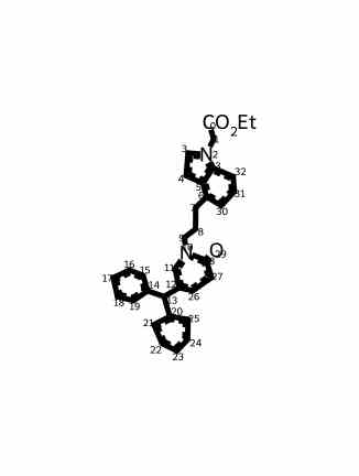 CCOC(=O)Cn1ccc2c(CCCn3cc(C(c4ccccc4)c4ccccc4)ccc3=O)cccc21